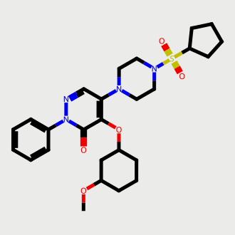 COC1CCCC(Oc2c(N3CCN(S(=O)(=O)C4CCCC4)CC3)cnn(-c3ccccc3)c2=O)C1